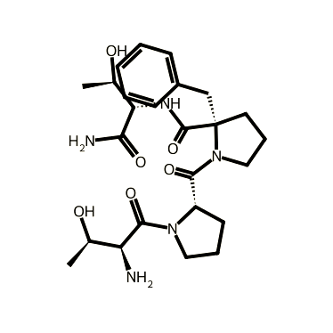 C[C@@H](O)[C@H](N)C(=O)N1CCC[C@H]1C(=O)N1CCC[C@]1(Cc1ccccc1)C(=O)N[C@H](C(N)=O)[C@@H](C)O